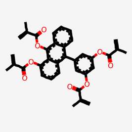 C=C(C)C(=O)Oc1cc(OC(=O)C(=C)C)cc(-c2c3ccccc3c(OC(=O)C(=C)C)c3c(OC(=O)C(=C)C)cccc23)c1